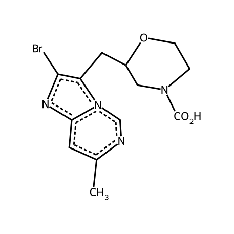 Cc1cc2nc(Br)c(CC3CN(C(=O)O)CCO3)n2cn1